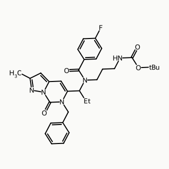 CCC(c1cc2cc(C)nn2c(=O)n1Cc1ccccc1)N(CCCNC(=O)OC(C)(C)C)C(=O)c1ccc(F)cc1